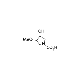 COC1CN(C(=O)O)CC1O